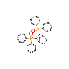 O=P(c1ccccc1)(c1ccccc1)C1C2CCC(C2)C1P(=O)(c1ccccc1)c1ccccc1